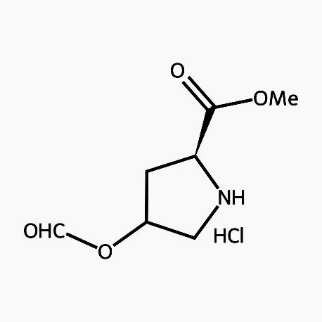 COC(=O)[C@@H]1CC(OC=O)CN1.Cl